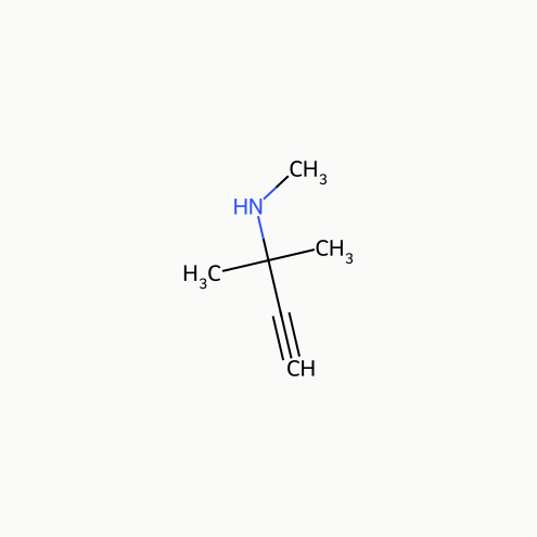 C#CC(C)(C)NC